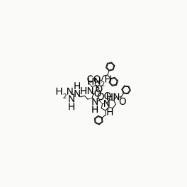 N=C(N)NCCC[C@H](NC(=O)[C@@H]1CC(Cc2ccccc2)[C@@H]2CCC(NC(=O)c3ccccc3)C(=O)N12)C(=O)N[C@@H](CC(=O)O)C(=O)NCCC(c1ccccc1)c1ccccc1